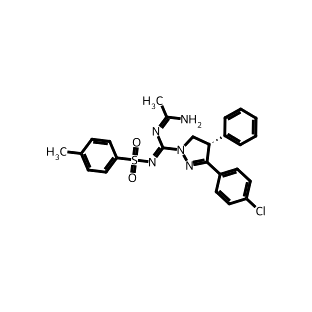 C/C(N)=N/C(=N\S(=O)(=O)c1ccc(C)cc1)N1C[C@H](c2ccccc2)C(c2ccc(Cl)cc2)=N1